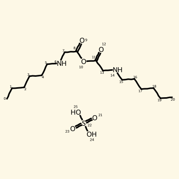 CCCCCCNCC(=O)OC(=O)CNCCCCCC.O=S(=O)(O)O